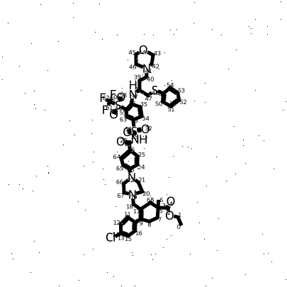 CCOC(=O)C1(C)CCC(c2ccc(Cl)cc2)=C(CN2CCN(c3ccc(C(=O)NS(=O)(=O)c4ccc(NC(CCN5CCOCC5)CSc5ccccc5)c(S(=O)(=O)C(F)(F)F)c4)cc3)CC2)C1